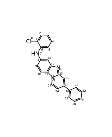 Clc1ccccc1Nc1ccc2c(c1)nc1cc(-c3ccccc3)ccn12